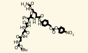 CC(C)C(NC(=O)CNC(=O)CNC(=O)CNC(=O)OC(C)(C)C)C(=O)NC(CCCNC(N)=O)C(=O)Nc1ccc(COC(=O)Oc2ccc([N+](=O)[O-])cc2)cc1